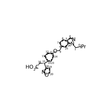 CC(C)Cn1ncc2ccc(COc3ccc([C@H](CC(=O)O)c4ccon4)cc3)cc21